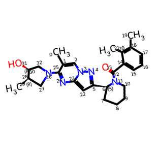 Cc1cn2nc([C@@H]3CCCCN3C(=O)c3cccc(C)c3C)cc2nc1N1C[C@@H](C)[C@@H](O)C1